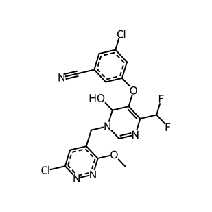 COc1nnc(Cl)cc1CN1C=NC(C(F)F)=C(Oc2cc(Cl)cc(C#N)c2)C1O